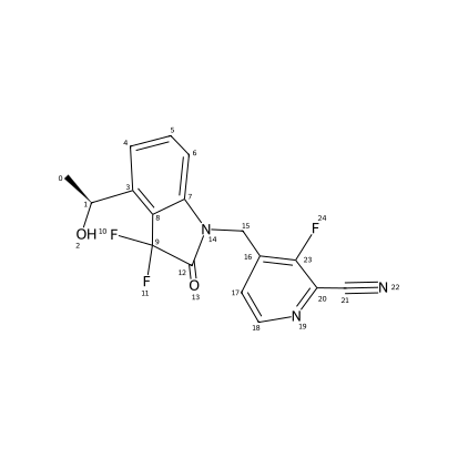 C[C@H](O)c1cccc2c1C(F)(F)C(=O)N2Cc1ccnc(C#N)c1F